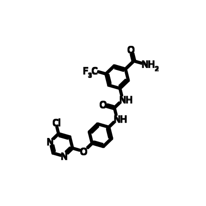 NC(=O)c1cc(NC(=O)Nc2ccc(Oc3cc(Cl)ncn3)cc2)cc(C(F)(F)F)c1